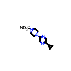 O=C(O)N1CCN(c2cnc(C3CC3)cn2)CC1